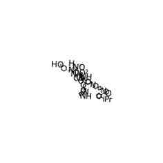 CC(C)c1ccccc1[C@@H]1COCCN1C1CC2(CCN(c3ccc(C(=O)NS(=O)(=O)c4cc([N+](=O)[O-])c(NC[C@H]5CC[C@](C)(O)CC5)nc4C#N)c(Oc4cnc5[nH]ccc5c4)c3)CC2)C1